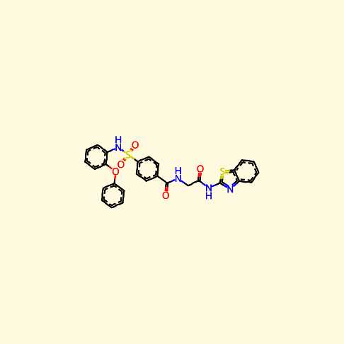 O=C(CNC(=O)c1ccc(S(=O)(=O)Nc2ccccc2Oc2ccccc2)cc1)Nc1nc2ccccc2s1